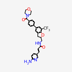 Nc1ccc(C=CC(=O)NCC2Cc3cc(-c4ccc(C(=O)N5CCOCC5)cc4)cc(C(F)(F)F)c3O2)cn1